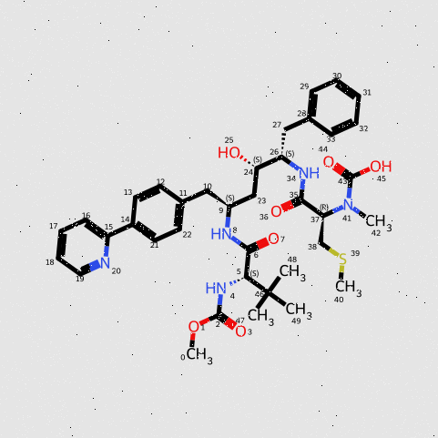 COC(=O)N[C@H](C(=O)N[C@@H](Cc1ccc(-c2ccccn2)cc1)C[C@H](O)[C@H](Cc1ccccc1)NC(=O)[C@H](CSC)N(C)C(=O)O)C(C)(C)C